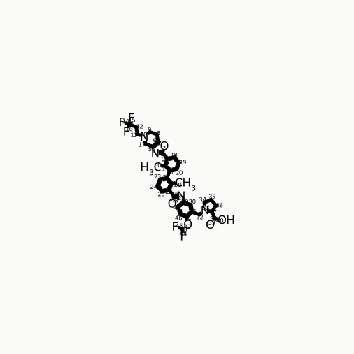 Cc1c(-c2nc3c(o2)CCN(CCC(F)(F)F)C3)cccc1-c1cccc(-c2nc3cc(CN4CCCC4C(=O)O)c(OC(F)F)cc3o2)c1C